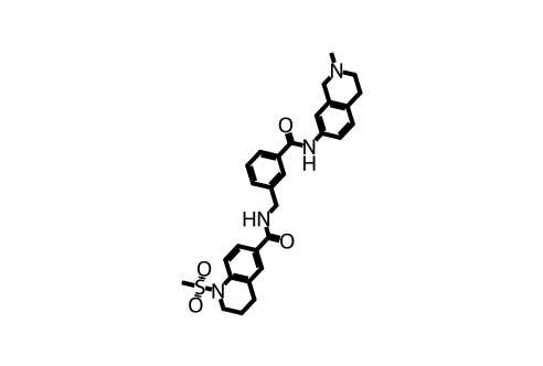 CN1CCc2ccc(NC(=O)c3cccc(CNC(=O)c4ccc5c(c4)CCCN5S(C)(=O)=O)c3)cc2C1